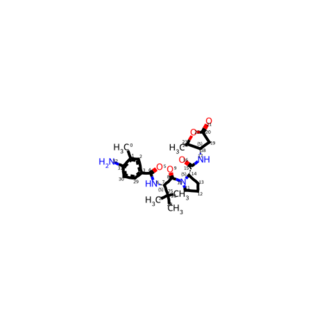 Cc1cc(C(=O)N[C@H](C(=O)N2CCC[C@H]2C(=O)N[C@H]2CC(=O)OC2C)C(C)(C)C)ccc1N